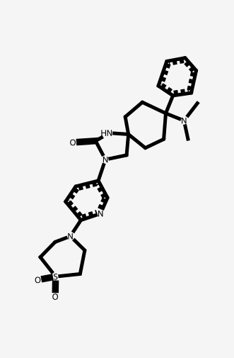 CN(C)C1(c2ccccc2)CCC2(CC1)CN(c1ccc(N3CCS(=O)(=O)CC3)nc1)C(=O)N2